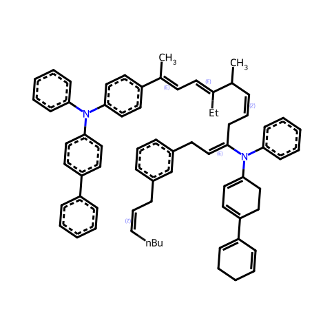 CCCC/C=C\Cc1cccc(C/C=C(\C/C=C\C(C)/C(=C/C=C(\C)c2ccc(N(c3ccccc3)c3ccc(-c4ccccc4)cc3)cc2)CC)N(C2=CC=C(C3=CCCC=C3)CC2)c2ccccc2)c1